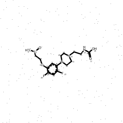 C[S+]([O-])CCOc1cc(N2CCN(CCNC(=O)O)CC2)c(F)cc1F